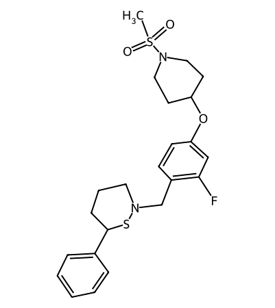 CS(=O)(=O)N1CCC(Oc2ccc(CN3CCCC(c4ccccc4)S3)c(F)c2)CC1